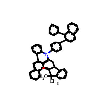 CC1(C)C2=CC=C(N(c3ccc(-c4ccc5ccccc5c4-c4ccccc4)cc3)c3ccccc3-c3ccc4ccccc4c3)CC2c2ccccc21